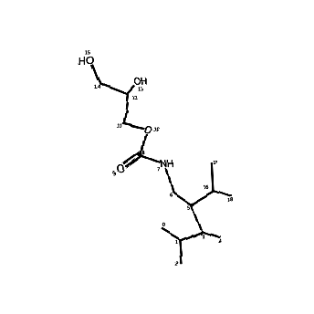 CC(C)C(C)C(CNC(=O)OCC(O)CO)C(C)C